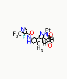 CCN1C(=O)[C@H]2[C@@H]3COC[C@@H]3[C@H]2c2cc(-c3cc(NC(=O)c4ccnc(C(F)(F)F)c4F)ccc3C)cnc21